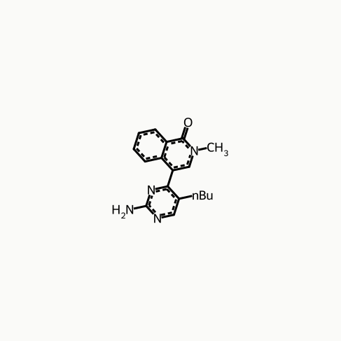 CCCCc1cnc(N)nc1-c1cn(C)c(=O)c2ccccc12